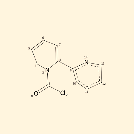 O=C(Cl)N1CC=CC=C1c1ccccn1